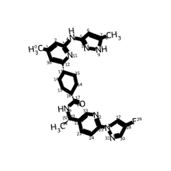 Cc1cc(Nc2cc(C)[nH]n2)nc([C@H]2CC[C@@H](C(=O)N[C@@H](C)c3ccc(-n4cc(F)cn4)nc3)CC2)c1